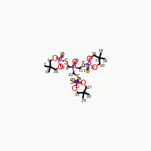 CC1(C)COP(=S)(SCP(=O)(CSP2(=S)OCC(C)(C)CO2)CSP2(=S)OCC(C)(C)CO2)OC1